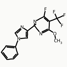 COc1nc(-c2cn(-c3ccccc3)cn2)nc(F)c1C(F)(F)F